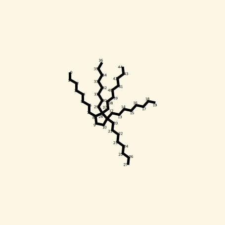 CCCCCCCCC1CCC(CCCCCCCC)(CCCCCCCC)C1(CCCCCCCC)CCCCCCCC